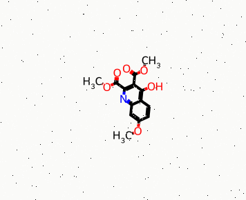 COC(=O)c1nc2cc(OC)ccc2c(O)c1C(=O)OC